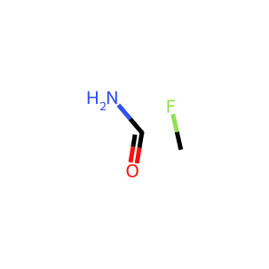 CF.NC=O